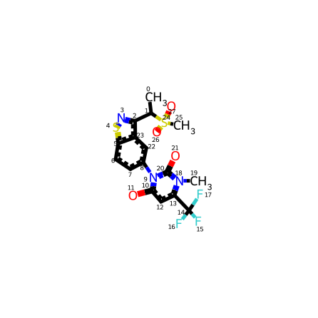 CC(c1nsc2ccc(-n3c(=O)cc(C(F)(F)F)n(C)c3=O)cc12)S(C)(=O)=O